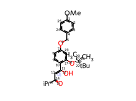 COc1ccc(COc2ccc(/C(O)=C/C(=O)C(C)C)c(O[Si](C)(C)C(C)(C)C)c2)cc1